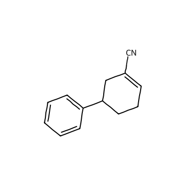 N#CC1=CCCC(c2ccccc2)C1